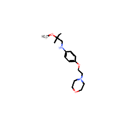 CC(C)(CNc1ccc(OCCN2CCOCC2)cc1)OC(=O)O